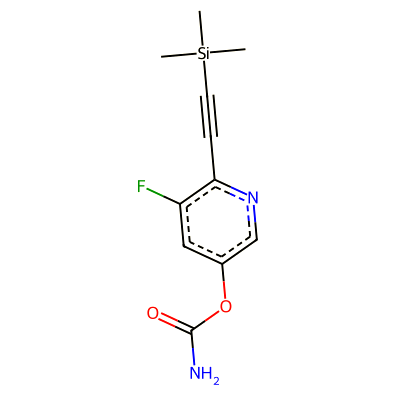 C[Si](C)(C)C#Cc1ncc(OC(N)=O)cc1F